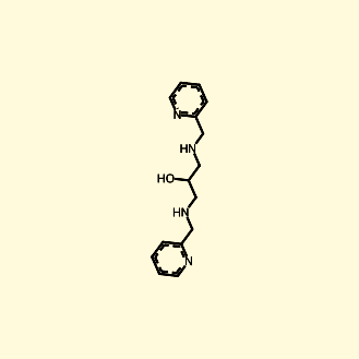 OC(CNCc1ccccn1)CNCc1ccccn1